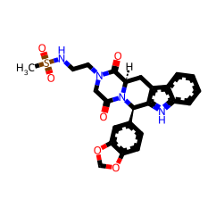 CS(=O)(=O)NCCN1CC(=O)N2[C@H](c3ccc4c(c3)OCO4)c3[nH]c4ccccc4c3C[C@@H]2C1=O